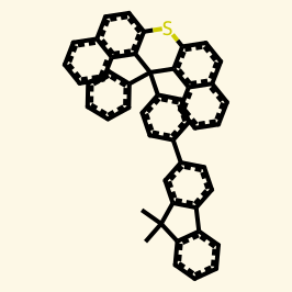 CC1(C)c2ccccc2-c2ccc(-c3ccc(C4(c5ccccc5)c5c(ccc6ccccc56)Sc5ccc6ccccc6c54)cc3)cc21